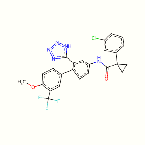 COc1ccc(-c2ccc(NC(=O)C3(c4cccc(Cl)c4)CC3)cc2-c2nnn[nH]2)cc1C(F)(F)F